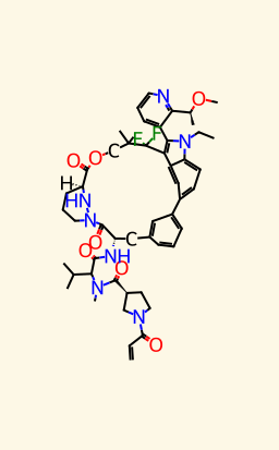 C=CC(=O)N1CC[C@H](C(=O)N(C)C(C(=O)N[C@H]2Cc3cccc(c3)-c3ccc4c(c3)c(c(-c3cccnc3[C@H](C)OC)n4CC)C(F)(F)C(C)(C)COC(=O)[C@@H]3CCCN(N3)C2=O)C(C)C)C1